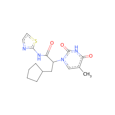 Cc1cn(C(CC2CCCC2)C(=O)Nc2nccs2)c(=O)[nH]c1=O